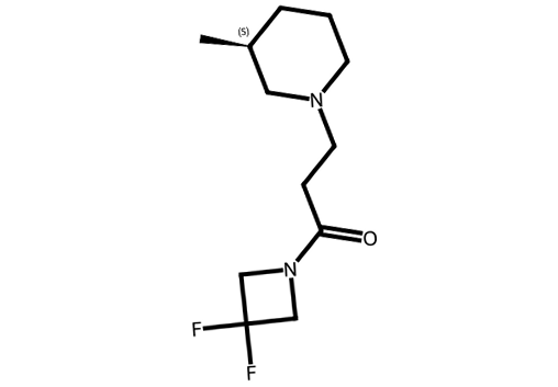 C[C@H]1CCCN(CCC(=O)N2CC(F)(F)C2)C1